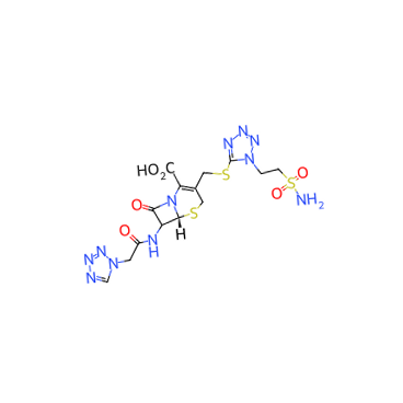 NS(=O)(=O)CCn1nnnc1SCC1=C(C(=O)O)N2C(=O)C(NC(=O)Cn3cnnn3)[C@H]2SC1